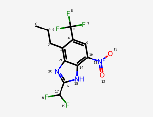 CCCc1c(C(F)(F)F)cc([N+](=O)[O-])c2[nH]c(C(F)F)nc12